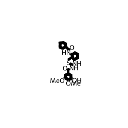 COc1cc(C(=O)NC(=S)Nc2cccc(NC(=O)c3ccccc3)c2C)cc(O)c1OC